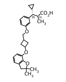 C[C@H](C(=O)O)[C@H](c1cccc(OCC2CC(Oc3cccc4c3OC(C)(C)C4)C2)c1)C1CC1